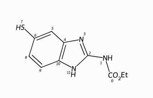 CCOC(=O)Nc1nc2cc(S)ccc2[nH]1